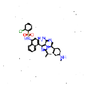 CNC1CC=C(c2cnc(N)c3c(-c4ccc(NS(=O)(=O)c5ccccc5Cl)c5ccccc45)nc(C(C)C)n23)CC1